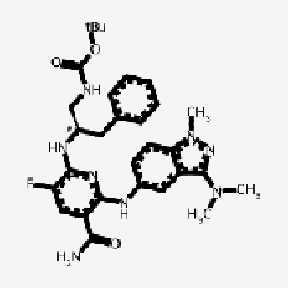 CN(C)c1nn(C)c2ccc(Nc3nc(N[C@@H](CNC(=O)OC(C)(C)C)Cc4ccccc4)c(F)cc3C(N)=O)cc12